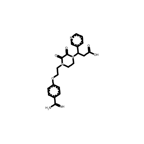 N=C(N)c1ccc(OCCN2CCN(C(CC(=O)O)c3cccnc3)C(=O)C2=O)cc1